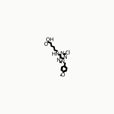 COc1ccc(Cn2cnc3c(NCCCCCC(=O)O)nc(Cl)nc32)cc1